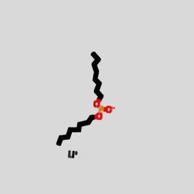 CCCCCCCCOP([O-])OCCCCCCCC.[Li+]